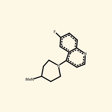 CNC1CCN(c2ccnc3ccc(F)cc23)CC1